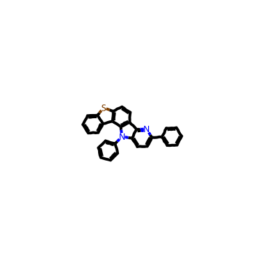 c1ccc(-c2ccc3c(n2)c2ccc4sc5ccccc5c4c2n3-c2ccccc2)cc1